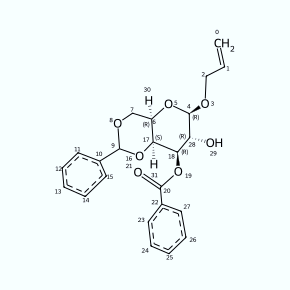 C=CCO[C@@H]1O[C@@H]2COC(c3ccccc3)O[C@@H]2[C@H](OC(=O)c2ccccc2)[C@H]1O